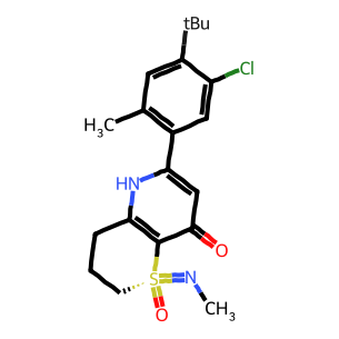 CN=[S@]1(=O)CCCc2[nH]c(-c3cc(Cl)c(C(C)(C)C)cc3C)cc(=O)c21